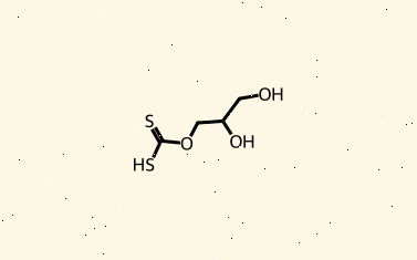 OCC(O)COC(=S)S